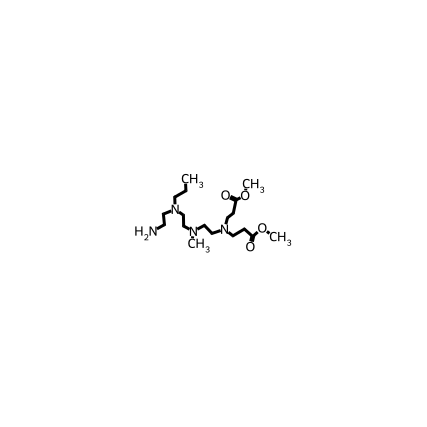 CCCN(CCN)CCN(C)CCN(CCC(=O)OC)CCC(=O)OC